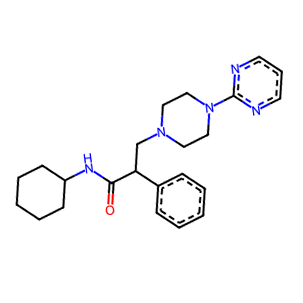 O=C(NC1CCCCC1)C(CN1CCN(c2ncccn2)CC1)c1ccccc1